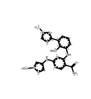 CCCCCCCCn1cc(Nc2ncc(C(N)=O)c(Nc3cccc(-c4ncn(C)n4)c3OC)n2)cn1